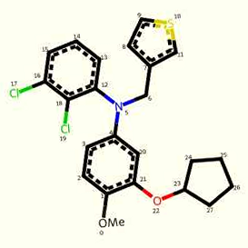 COc1ccc(N(Cc2ccsc2)c2cccc(Cl)c2Cl)cc1OC1CCCC1